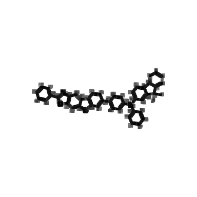 CC1(C)c2ccccc2-c2ccc(N(c3ccccc3)c3ccc(-c4ccc5c(c4)oc4cc6oc(-c7ccccc7)nc6cc45)cc3)cc21